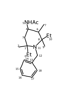 CCC1(C)CC(NC(C)=O)C(C)C(C)(CC)N1Cc1ccccc1